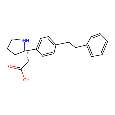 O=C(O)C[C@]1(c2ccc(CCc3ccccc3)cc2)CCCN1